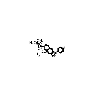 COCC12Cc3cnn(-c4ccc(F)cc4)c3C=C1CCN(C(=O)OC(C)(C)C)C2